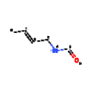 C/C=C/CNC=O